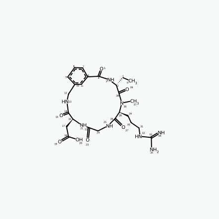 CC[C@H]1NC(=O)c2cccc(c2)CNC(=O)[C@H](CC(=O)O)NC(=O)CNC(=O)[C@H](CCCNC(=N)N)N(C)C1=O